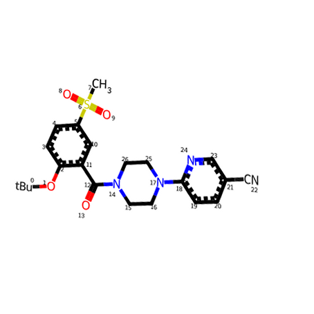 CC(C)(C)Oc1ccc(S(C)(=O)=O)cc1C(=O)N1CCN(c2ccc(C#N)cn2)CC1